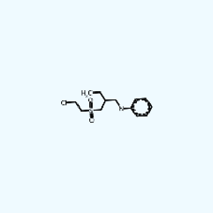 CCC(C[N]c1ccccc1)CS(=O)(=O)CCCl